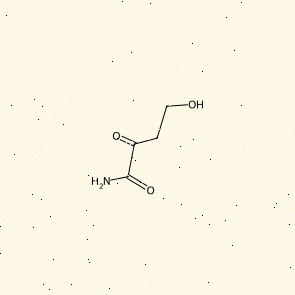 NC(=O)C(=O)CCO